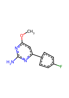 COc1cc(-c2ccc(F)cc2)nc(N)n1